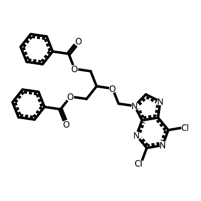 O=C(OCC(COC(=O)c1ccccc1)OCn1cnc2c(Cl)nc(Cl)nc21)c1ccccc1